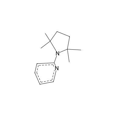 CC1(C)CCC(C)(C)N1c1ccccn1